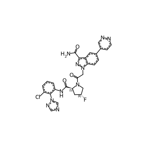 NC(=O)c1nn(CC(=O)N2C[C@H](F)C[C@H]2C(=O)Nc2cccc(Cl)c2-n2cncn2)c2ccc(-c3ccnnc3)cc12